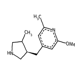 COc1cc(C[C@H]2CNCC2C)cc(C)n1